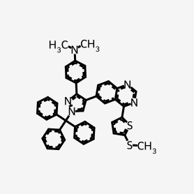 CSc1ccc(-c2ncnc3ccc(-c4cn(C(c5ccccc5)(c5ccccc5)c5ccccc5)nc4-c4ccc(N(C)C)cc4)cc23)s1